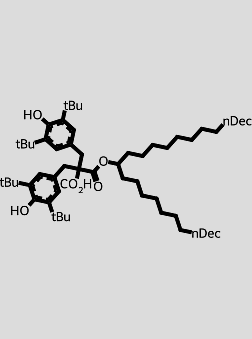 CCCCCCCCCCCCCCCCCCC(CCCCCCCCCCCCCCCCC)OC(=O)C(Cc1cc(C(C)(C)C)c(O)c(C(C)(C)C)c1)(Cc1cc(C(C)(C)C)c(O)c(C(C)(C)C)c1)C(=O)O